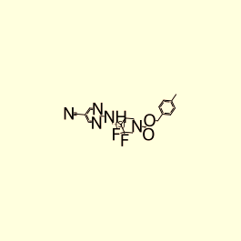 Cc1ccc(COC(=O)N2CC[C@@H](CNc3ncc(C#N)cn3)C(F)(F)C2)cc1